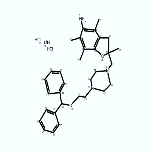 Cc1c(C)c2c(c(C)c1N)CC(C)(CN1CCN(CCOC(c3ccccc3)c3ccccc3)CC1)O2.Cl.Cl.Cl